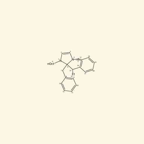 CCCCCCCCN1C=CN(CCCC)C1(Cc1ccccc1)C(CC)c1ccccc1